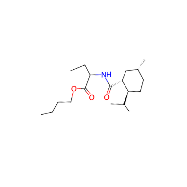 CCCCOC(=O)C(CC)NC(=O)[C@@H]1C[C@H](C)CC[C@H]1C(C)C